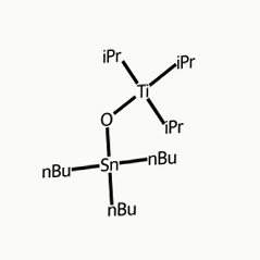 CCC[CH2][Sn]([CH2]CCC)([CH2]CCC)[O][Ti]([CH](C)C)([CH](C)C)[CH](C)C